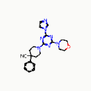 N#CC1(c2ccccc2)CCN(c2nc(N3CCOCC3)nc(-n3ccnc3)n2)CC1